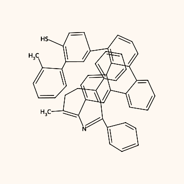 C\C1=C(c2ccc3c(c2)c2ccccc2c2cccc(-c4ccc(S)c(-c5ccccc5C)c4)c23)/N=C(c2ccccc2)\C=C(\c2ccccc2)CC1